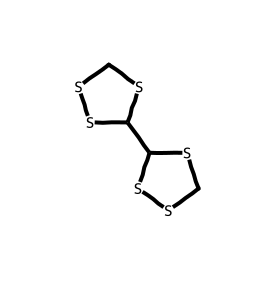 C1SSC(C2SCSS2)S1